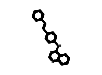 C(=C\c1ccc(Nc2ncnc3ccccc23)cc1)/c1ccccc1